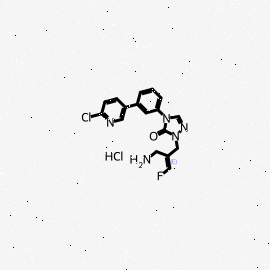 Cl.NC/C(=C\F)Cn1ncn(-c2cccc(-c3ccc(Cl)nc3)c2)c1=O